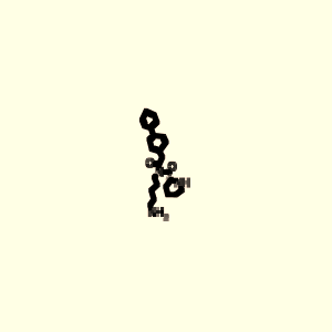 NCCCCCN(C(=O)Cc1ccc(-c2ccccc2)cc1)C(=O)[C@H]1CCCCN1